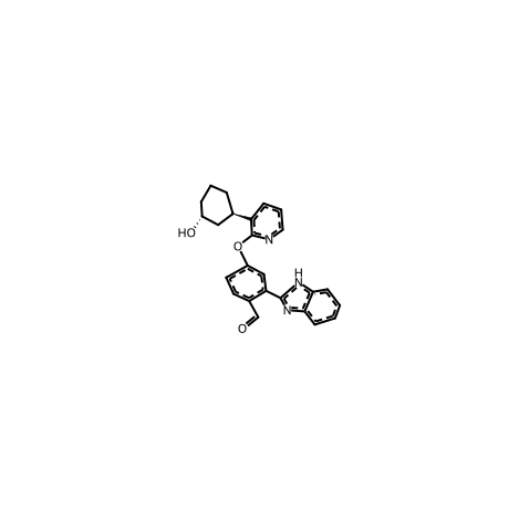 O=Cc1ccc(Oc2ncccc2[C@@H]2CCC[C@@H](O)C2)cc1-c1nc2ccccc2[nH]1